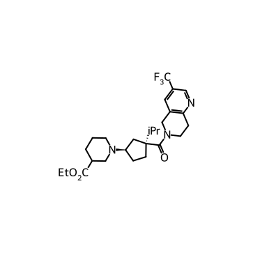 CCOC(=O)C1CCCN([C@@H]2CC[C@@](C(=O)N3CCc4ncc(C(F)(F)F)cc4C3)(C(C)C)C2)C1